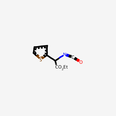 CCOC(=O)C(N=C=O)c1cccs1